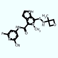 Cn1c(C(=O)Nc2cc(F)nc(C#N)c2)c2cc[nH]c2c1SNC1(C)COC1